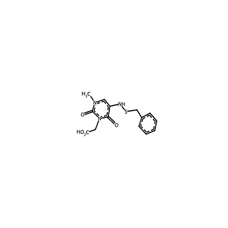 Cn1cc(NSCc2ccccc2)c(=O)n(CC(=O)O)c1=O